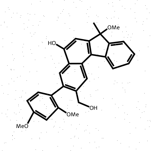 COc1ccc(-c2cc3c(O)cc4c(c3cc2CO)-c2ccccc2C4(C)OC)c(OC)c1